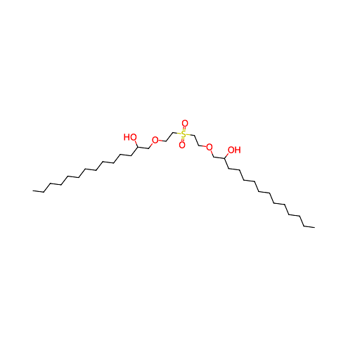 CCCCCCCCCCCCC(O)COCCS(=O)(=O)CCOCC(O)CCCCCCCCCCCC